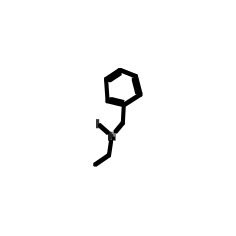 CCN(I)Cc1ccccc1